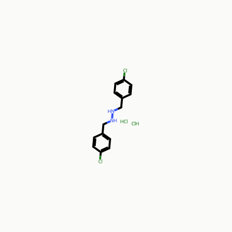 Cl.Cl.Clc1ccc(CNNCc2ccc(Cl)cc2)cc1